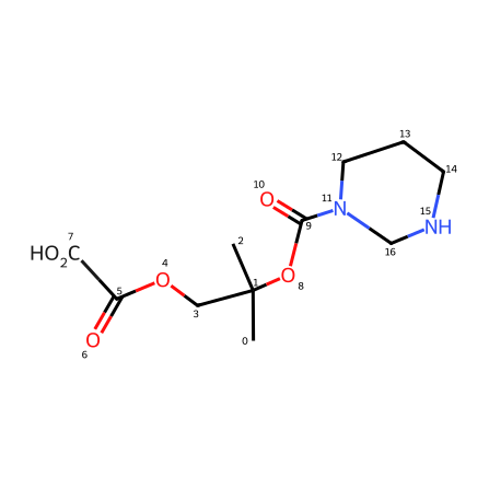 CC(C)(COC(=O)C(=O)O)OC(=O)N1CCCNC1